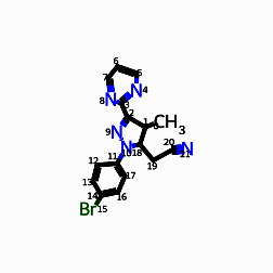 CC1C(c2ncccn2)=NN(c2ccc(Br)cc2)C1CC#N